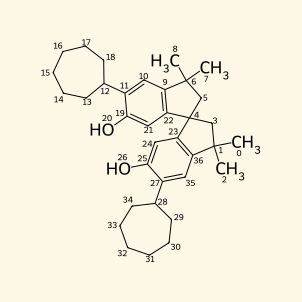 CC1(C)CC2(CC(C)(C)c3cc(C4CCCCCC4)c(O)cc32)c2cc(O)c(C3CCCCCC3)cc21